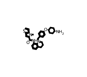 Cn1c(C(=O)Nc2cccc3c2N(Cc2ccc(O[C@H]4CC[C@@H](N)CC4)cc2)CCC3)cc2sccc21